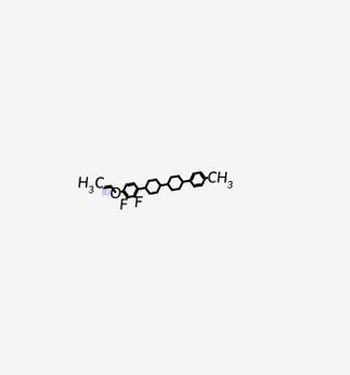 C/C=C/Oc1ccc(C2CCC(C3CCC(c4ccc(C)cc4)CC3)CC2)c(F)c1F